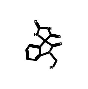 CC(C)CN1C(=O)C2(NC(=O)NC2=O)c2ccccc21